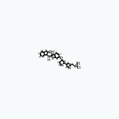 CCN(CC)CCn1cc(-c2cc(Oc3ccc4nc(N[C@@H]5c6ccccc6C[C@@H]5O)sc4c3)ccn2)cn1